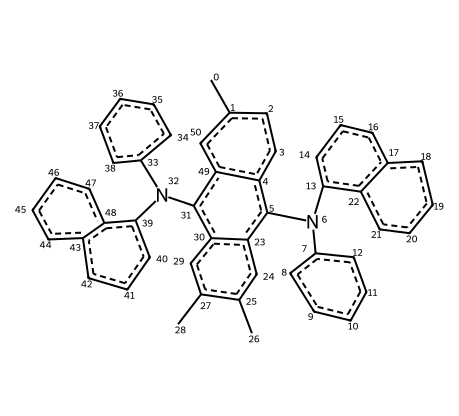 Cc1ccc2c(N(c3ccccc3)c3cccc4ccccc34)c3cc(C)c(C)cc3c(N(c3ccccc3)c3cccc4ccccc34)c2c1